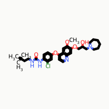 COc1cc2c(Oc3ccc(NC(=O)NCCC(C)(C)C)c(Cl)c3)ccnc2cc1OCC(O)CN1CCCCCC1